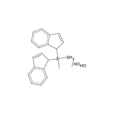 CC.Cl.Cl.[CH3][Zr]([SiH3])([CH]1C=Cc2ccccc21)[CH]1C=Cc2ccccc21